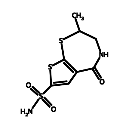 CC1CNC(=O)c2cc(S(N)(=O)=O)sc2S1